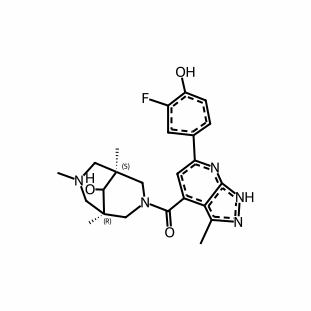 Cc1n[nH]c2nc(-c3ccc(O)c(F)c3)cc(C(=O)N3C[C@]4(C)CN(C)C[C@](C)(C3)C4O)c12